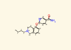 CCCCN1CCc2c(cccc2Oc2ccc(C(N)=O)cn2)C1